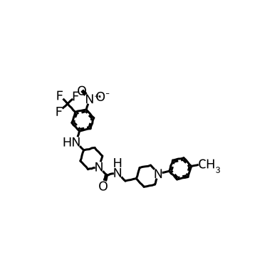 Cc1ccc(N2CCC(CNC(=O)N3CCC(Nc4ccc([N+](=O)[O-])c(C(F)(F)F)c4)CC3)CC2)cc1